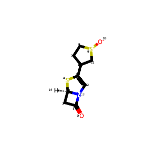 O=C1C[C@H]2SC(C3CC[S+]([O-])C3)=CN12